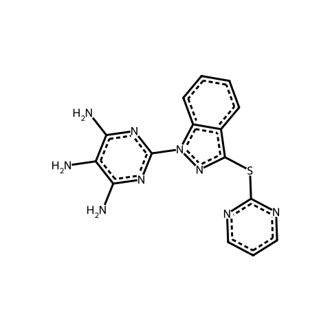 Nc1nc(-n2nc(Sc3ncccn3)c3ccccc32)nc(N)c1N